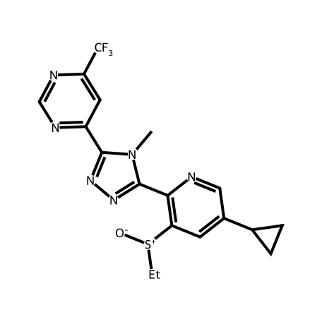 CC[S+]([O-])c1cc(C2CC2)cnc1-c1nnc(-c2cc(C(F)(F)F)ncn2)n1C